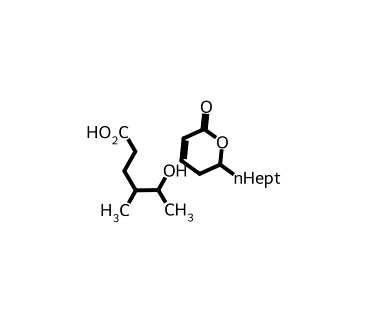 CC(O)C(C)CCC(=O)O.CCCCCCCC1CC=CC(=O)O1